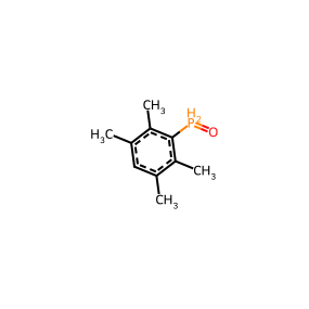 Cc1cc(C)c(C)c([PH2]=O)c1C